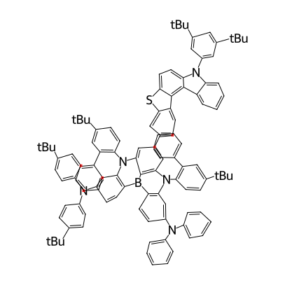 CC(C)(C)c1ccc(N(c2ccc(C(C)(C)C)cc2)c2ccc3c(c2)N(c2ccc(C(C)(C)C)cc2-c2ccccc2)c2cc(-c4ccc5c(c4)sc4ccc6c(c7ccccc7n6-c6cc(C(C)(C)C)cc(C(C)(C)C)c6)c45)cc4c2B3c2ccc(N(c3ccccc3)c3ccccc3)cc2N4c2ccc(C(C)(C)C)cc2-c2ccccc2)cc1